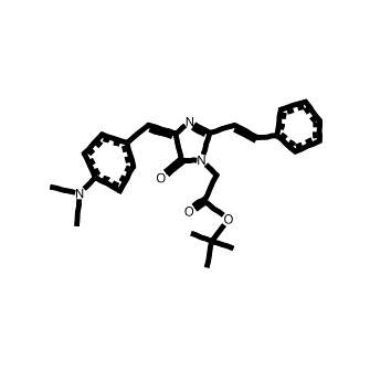 CN(C)c1ccc(C=C2N=C(C=Cc3ccccc3)N(CC(=O)OC(C)(C)C)C2=O)cc1